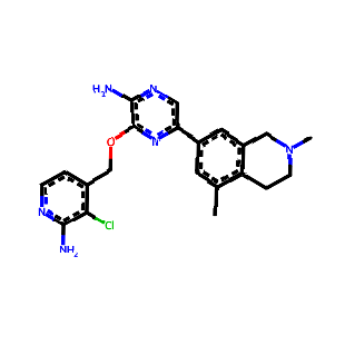 Cc1cc(-c2cnc(N)c(OCc3ccnc(N)c3Cl)n2)cc2c1CCN(C)C2